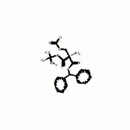 CC(C)(C)OC(=O)[C@@](N)(COC(=O)Cl)C(=O)OC(c1ccccc1)c1ccccc1